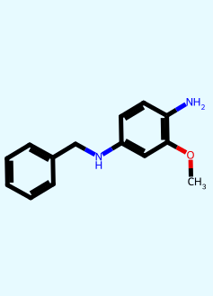 COc1cc(NCc2ccccc2)ccc1N